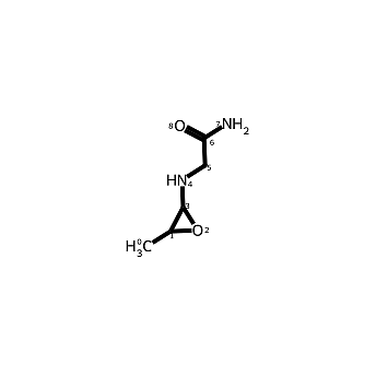 CC1OC1NCC(N)=O